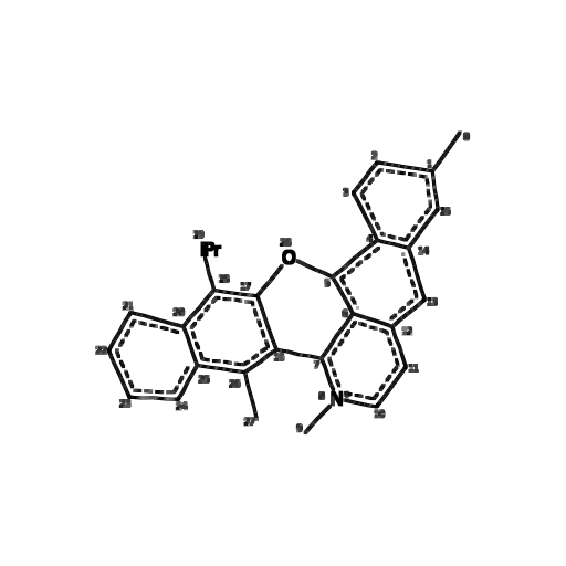 Cc1ccc2c3c4c([n+](C)ccc4cc2c1)-c1c(c(C(C)C)c2ccccc2c1C)O3